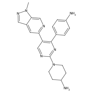 Cn1ncc2cc(-c3cnc(N4CCC(N)CC4)nc3-c3ccc(N)cc3)ncc21